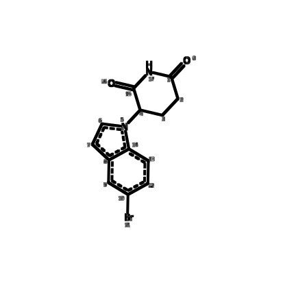 O=C1CCC(n2ccc3cc(Br)ccc32)C(=O)N1